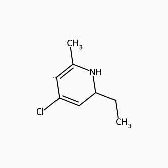 CCC1C=C(Cl)[C]=C(C)N1